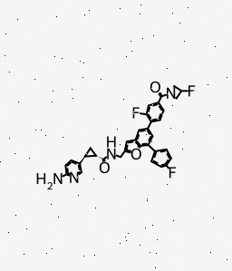 Nc1ccc([C@H]2C[C@@H]2C(=O)NCc2cc3cc(-c4ccc(C(=O)N5CC(F)C5)cc4F)cc(-c4ccc(F)cc4)c3o2)cn1